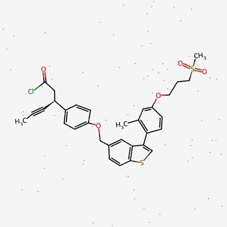 CC#C[C@@H](CC(=O)Cl)c1ccc(OCc2ccc3scc(-c4ccc(OCCCS(C)(=O)=O)cc4C)c3c2)cc1